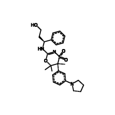 CC1(C)OC(N[C@@H](CCO)c2ccccc2)=NS(=O)(=O)C1(C)c1cccc(N2CCCC2)c1